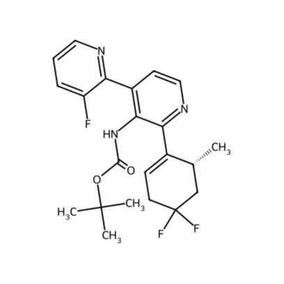 C[C@@H]1CC(F)(F)CC=C1c1nccc(-c2ncccc2F)c1NC(=O)OC(C)(C)C